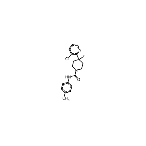 Cc1ccc(NC(=O)N2CCC(F)(c3ncccc3Cl)CC2)cc1